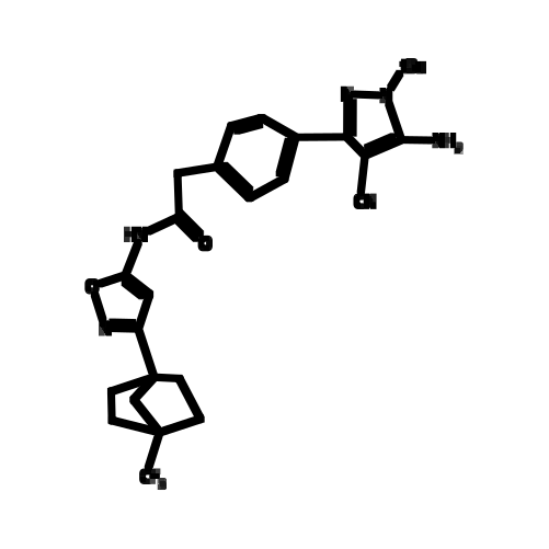 CC(C)(C)n1nc(-c2ccc(CC(=O)Nc3cc(C45CCC(C(F)(F)F)(CC4)C5)no3)cc2)c(C#N)c1N